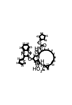 O=C(N[C@H]1CCCCC/C=C\C2C[C@]2(C(=O)O)NC(=O)[C@@H]2C[C@@H](Oc3nc4ccccc4nc3-c3cccs3)CN2C1=O)OC1CCCC1